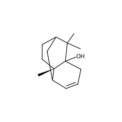 CC1(C)C2CC[C@@]3(C)C(C=CCC13O)C2